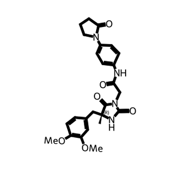 COc1ccc(C[C@@]2(C)NC(=O)N(CC(=O)Nc3ccc(N4CCCC4=O)cc3)C2=O)cc1OC